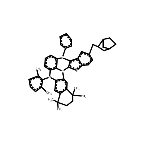 Cc1cccc(C)c1N1c2cc3c(cc2B2c4sc5ccc(CC6CC7CCC6C7)cc5c4N(c4ccccc4)c4cccc1c42)C(C)(C)CCC3(C)C